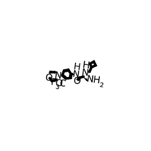 NC[C@H](NCC1CCC1)C(=O)Nc1ccc(N2CCOCC2=O)c(C(F)(F)F)c1